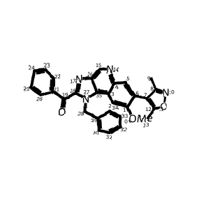 COc1cc2c(cc1-c1c(C)noc1C)ncc1nc(C(=O)c3ccccc3)n(Cc3ccccc3)c12